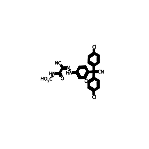 N#CC(=NNc1ccc(C(C#N)(c2ccc(Cl)cc2)c2ccc(Cl)cc2)c(Cl)c1)C(=O)NC(=O)O